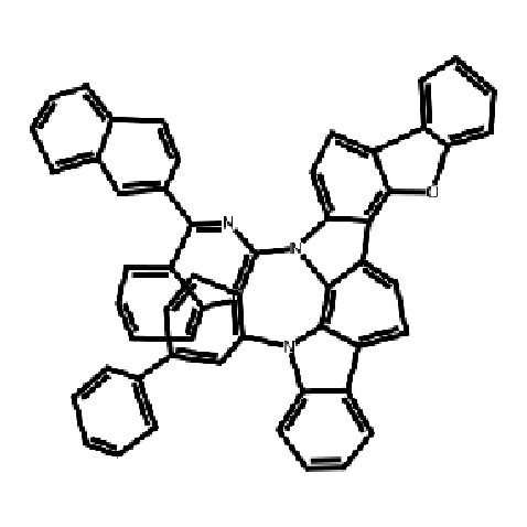 c1ccc(-c2cccc(-n3c4ccccc4c4ccc5c6c7oc8ccccc8c7ccc6n(-c6nc(-c7ccc8ccccc8c7)c7ccccc7n6)c5c43)c2)cc1